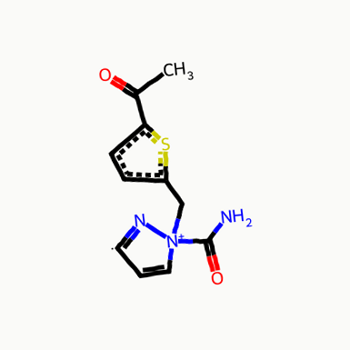 CC(=O)c1ccc(C[N+]2(C(N)=O)C=C[C]=N2)s1